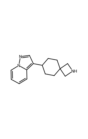 c1ccn2ncc(C3CCC4(CC3)CNC4)c2c1